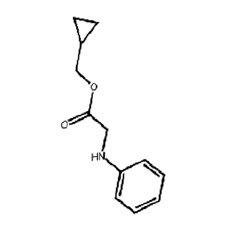 O=C(CNc1ccccc1)OCC1CC1